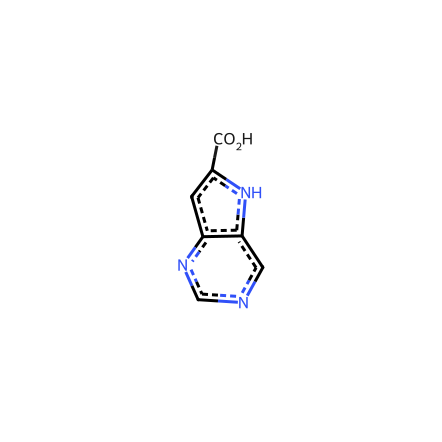 O=C(O)c1cc2ncncc2[nH]1